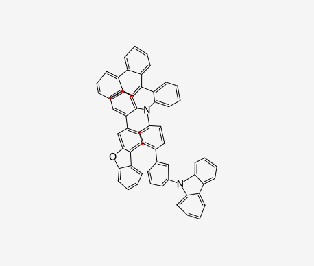 c1cc(-c2ccc(N(c3ccccc3-c3ccc4c(c3)oc3ccccc34)c3ccccc3-c3cc4ccccc4c4ccccc34)cc2)cc(-n2c3ccccc3c3ccccc32)c1